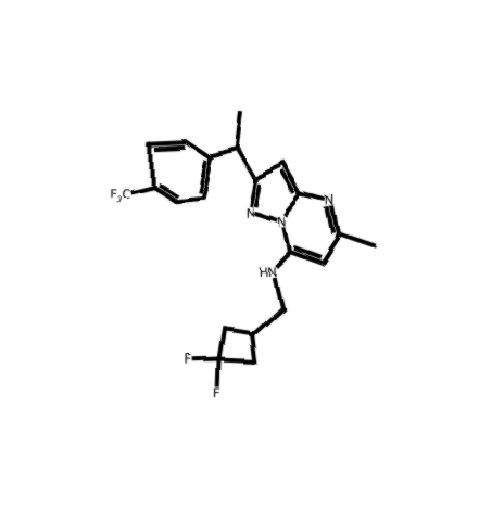 Cc1cc(NCC2CC(F)(F)C2)n2nc(C(C)c3ccc(C(F)(F)F)cc3)cc2n1